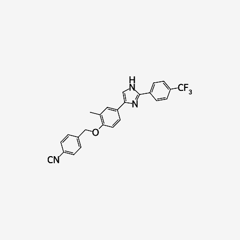 [C-]#[N+]c1ccc(COc2ccc(-c3c[nH]c(-c4ccc(C(F)(F)F)cc4)n3)cc2C)cc1